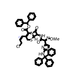 CON=C(C(=O)NC1C(=O)N2C(C(=O)OC(c3ccccc3)c3ccccc3)=C(/C=C\CCl)CS[C@@H]12)c1csc(NC(c2ccccc2)(c2ccccc2)c2ccccc2)n1